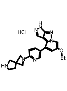 CCOc1cc(-c2ccc(N3CC4(CCNC4)C3)nc2)c2c3cn[nH]c3nn2c1.Cl